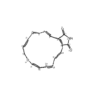 O=C1NC(=O)C2=C1/C=C/C=N/C=C\CO\C=C/N=C/C=C/2